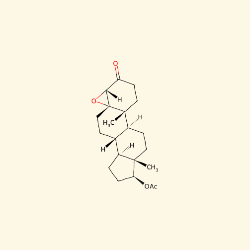 CC(=O)O[C@H]1CC[C@H]2[C@@H]3CC[C@@]45O[C@@H]4C(=O)CC[C@]5(C)[C@H]3CC[C@]12C